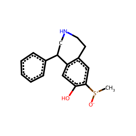 C[S+]([O-])c1cc2c(cc1O)C(c1ccccc1)CNCC2